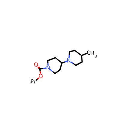 CC1CCN(C2CCN(C(=O)OC(C)C)CC2)CC1